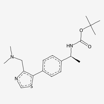 C[C@H](NC(=O)OC(C)(C)C)c1ccc(-c2scnc2CN(C)C)cc1